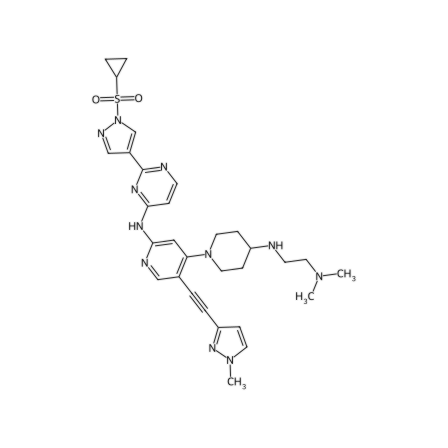 CN(C)CCNC1CCN(c2cc(Nc3ccnc(-c4cnn(S(=O)(=O)C5CC5)c4)n3)ncc2C#Cc2ccn(C)n2)CC1